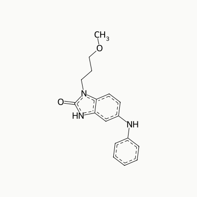 COCCCn1c(=O)[nH]c2cc(Nc3ccccc3)ccc21